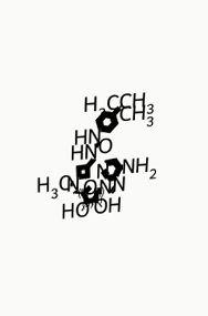 CN(C[C@H]1O[C@@H](n2cnc3c(N)ccnc32)[C@H](O)[C@@H]1O)C1CC(CNC(=O)Nc2ccc(C(C)(C)C)cc2)C1